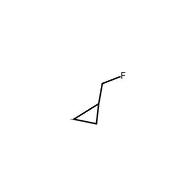 FCC1[CH]C1